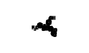 O=C(/N=c1\[nH]c2cc(N3CCOCC3=O)ccc2n1[C@H]1CC[C@@H](CO)CC1)c1cccc(C(F)(F)F)c1